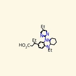 CCc1cnc(Nc2cc([C@H](CC)CC(=O)O)ccc2N(CC)C2CCCCC2)nc1